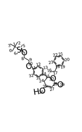 CC(C)(C)[Si](C)(C)OCCOc1ccc([C@]2(CCc3ccccc3)CC(O)=CC(=O)O2)cc1